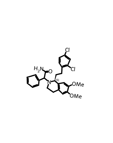 COc1cc2c(cc1OC)[C@H](CCc1ccc(Cl)cc1Cl)N(C(C(N)=O)c1ccccc1)CC2